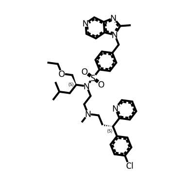 CCOC[C@H](CC(C)C)N(CCN(C)CC[C@@H](c1ccc(Cl)cc1)c1ccccn1)S(=O)(=O)c1ccc(Cn2c(C)nc3cnccc32)cc1